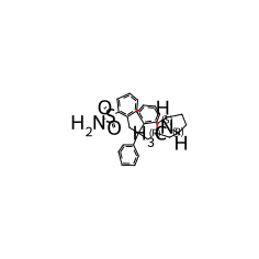 CN1[C@@H]2CC[C@H]1C[C@@H](CC(Cc1ccccc1S(N)(=O)=O)(c1ccccc1)c1ccccc1)C2